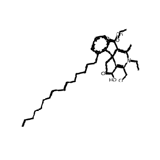 CCCCCCCCCCCCCCCc1cccc(OCC)c1C1(CC)C(C(=O)O)=C(C)N(CC)C(CCl)=C1C(=O)O